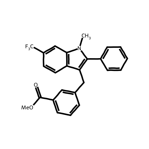 COC(=O)c1cccc(Cc2c(-c3ccccc3)n(C)c3cc(C(F)(F)F)ccc23)c1